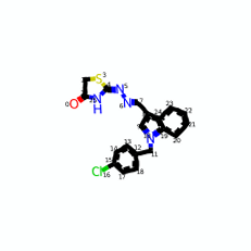 O=C1CS/C(=N/N=C/c2cn(Cc3ccc(Cl)cc3)c3ccccc23)N1